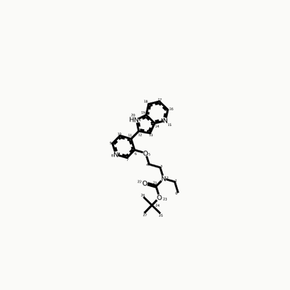 CCN(CCOc1cnccc1-c1cc2ncccc2[nH]1)C(=O)OC(C)(C)C